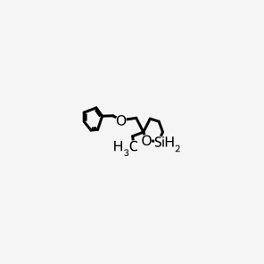 CCC1(COCc2ccccc2)CCC[SiH2]O1